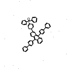 O=P(C1=CCC(c2ccc3c(-c4ccc(-c5ccccc5)cc4)c4ccccc4c(-c4ccc(-c5ccccc5)cc4)c3c2)C=C1)(c1ccccc1)c1ccccc1